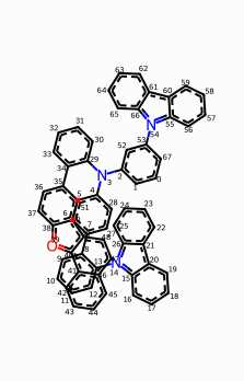 c1cc(N(c2ccc(-c3ccccc3-n3c4ccccc4c4ccccc43)cc2)c2ccccc2-c2ccc3oc4c5ccccc5ccc4c3c2)cc(-n2c3ccccc3c3ccccc32)c1